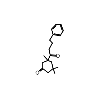 CC1(C)CC(=O)CC(C)(C(=O)CCCc2ccccc2)C1